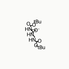 CC(C)(C)OC(=O)NCN[S+]([O-])NC(=O)OC(C)(C)C